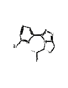 C[C@@H](F)[C@H]1CCc2nnc(-c3cccc(Br)n3)n21